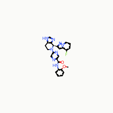 COc1ccccc1NC(=O)c1cnc(N2CCc3[nH]cnc3[C@H]2c2cc3c(F)cccn3n2)cn1